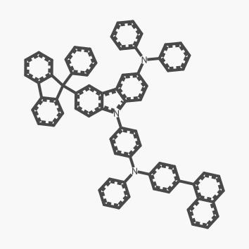 c1ccc(N(c2ccc(-c3cccc4ccccc34)cc2)c2ccc(-n3c4ccc(N(c5ccccc5)c5ccccc5)cc4c4cc(C5(c6ccccc6)c6ccccc6-c6ccccc65)ccc43)cc2)cc1